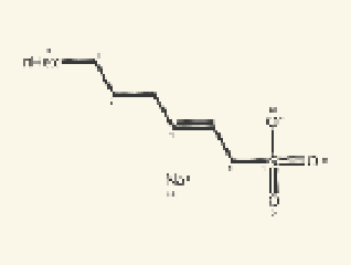 CCCCCCCCCC=CCS(=O)(=O)[O-].[Na+]